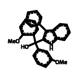 COc1cccc(C(O)(c2ccccc2OC)c2[nH]c3ccccc3c2-c2ccccc2)c1